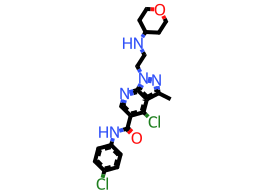 Cc1nn(CCNC2CCOCC2)c2ncc(C(=O)Nc3ccc(Cl)cc3)c(Cl)c12